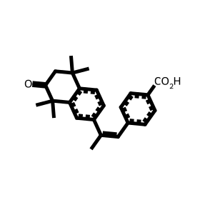 C/C(=C/c1ccc(C(=O)O)cc1)c1ccc2c(c1)C(C)(C)C(=O)CC2(C)C